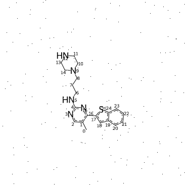 Cc1cnc(NCCCN2CCNCC2)nc1-c1cc2ccccc2s1